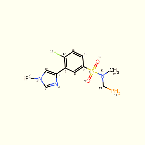 CC(C)n1cnc(-c2cc(S(=O)(=O)N(C)CP)ccc2F)c1